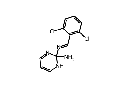 NC1(N=Cc2c(Cl)cccc2Cl)N=CC=CN1